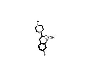 Cl.O=C(Cc1ccc(F)cc1F)N1CCNCC1